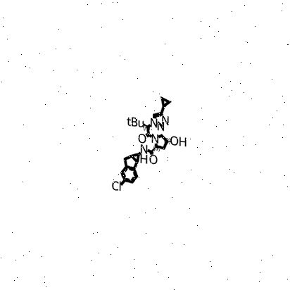 CC(C)(C)[C@H](C(=O)N1C[C@H](O)C[C@H]1C(=O)NC1C2Cc3cc(Cl)ccc3C21)n1cc(C2CC2)nn1